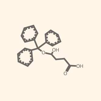 O=C(O)CCC(O)OC(c1ccccc1)(c1ccccc1)c1ccccc1